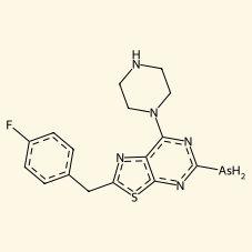 Fc1ccc(Cc2nc3c(N4CCNCC4)nc([AsH2])nc3s2)cc1